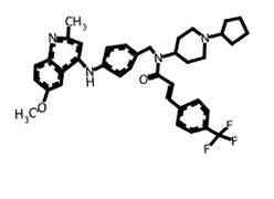 COc1ccc2nc(C)cc(Nc3ccc(CN(C(=O)C=Cc4ccc(C(F)(F)F)cc4)C4CCN(C5CCCC5)CC4)cc3)c2c1